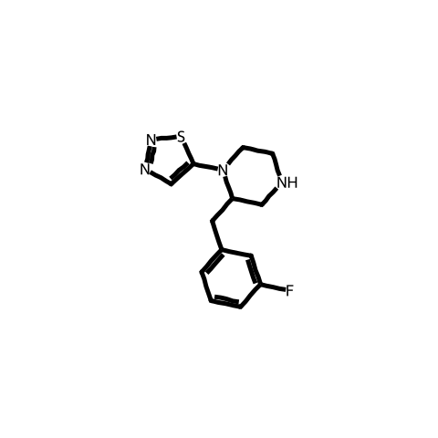 Fc1cccc(CC2CNCCN2c2cnns2)c1